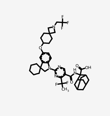 CC(F)(F)c1nc(N2CC3(CCCCC3)c3cc(OC4CCC5(CC4)CN(CC(F)(F)F)C5)ccc32)ncc1C(=O)NC1(C(=O)O)C2CC3CC(C2)CC1C3